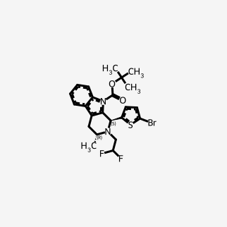 C[C@@H]1Cc2c(n(C(=O)OC(C)(C)C)c3ccccc23)[C@@H](c2ccc(Br)s2)N1CC(F)F